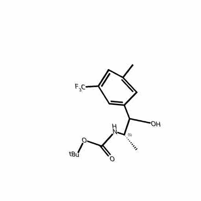 Cc1cc(C(O)[C@H](C)NC(=O)OC(C)(C)C)cc(C(F)(F)F)c1